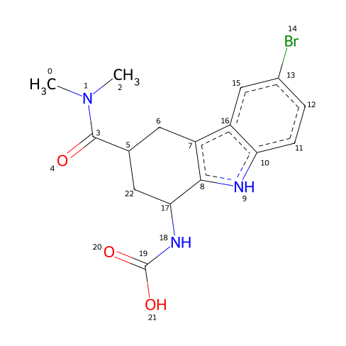 CN(C)C(=O)C1Cc2c([nH]c3ccc(Br)cc23)C(NC(=O)O)C1